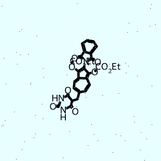 CCOC(=O)Oc1c2ccc(CC3C(=O)NC(=O)NC3=O)ccc-2c(OC(=O)OCC)c1N1C(=O)c2ccccc2C1=O